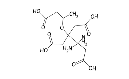 CC(CC(=O)O)OC(CC(=O)O)(CC(=O)O)C(N)(N)CC(=O)O